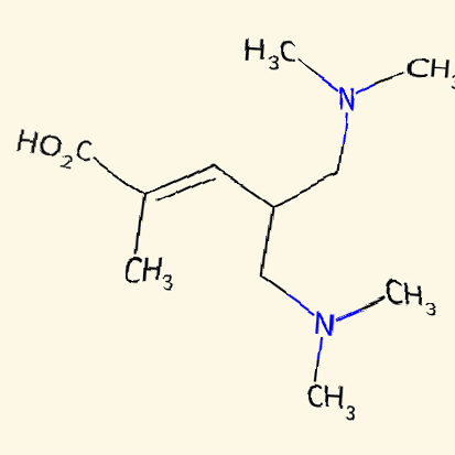 CC(=CC(CN(C)C)CN(C)C)C(=O)O